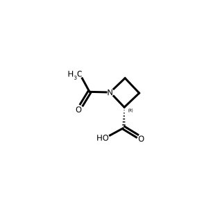 CC(=O)N1CC[C@@H]1C(=O)O